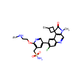 CCC1CC2(C1)C(=O)N(C)c1cnc3cc(F)c(-c4cnc(OCCNC(C)C)c(CS(N)(=O)=O)c4)cc3c12